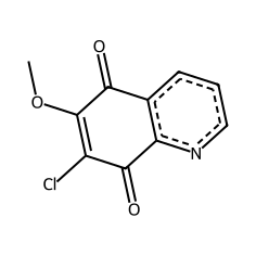 COC1=C(Cl)C(=O)c2ncccc2C1=O